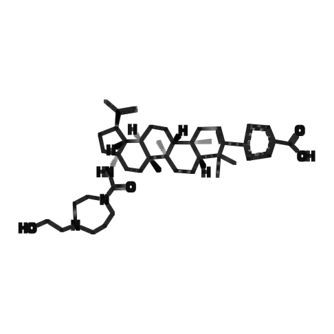 C=C(C)[C@@H]1CC[C@]2(NC(=O)N3CCCN(CCO)CC3)CC[C@]3(C)[C@H](CC[C@@H]4[C@@]5(C)CC=C(c6ccc(C(=O)O)cc6)C(C)(C)[C@@H]5CC[C@]43C)[C@@H]12